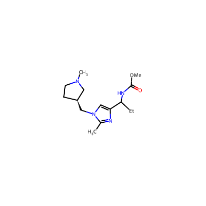 CCC(NC(=O)OC)c1cn(C[C@H]2CCN(C)C2)c(C)n1